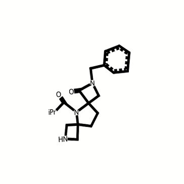 CC(C)C(=O)N1C2(CCC13CN(Cc1ccccc1)C3=O)CNC2